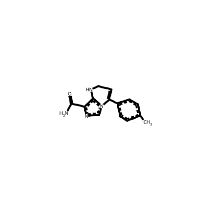 Cc1ccc(C2=CCNc3c(C(N)=O)ncn32)cc1